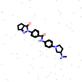 CN(C)C1CCN(c2ccc(NC(=O)c3ccc(N4N=C5CCCC5C4=O)cc3)cc2)C1